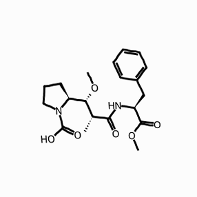 COC(=O)[C@H](Cc1ccccc1)NC(=O)[C@H](C)[C@@H](OC)[C@@H]1CCCN1C(=O)O